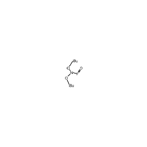 CCC(C)ON(OC(C)CC)P=O